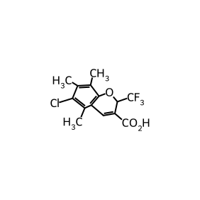 Cc1c(C)c2c(c(C)c1Cl)C=C(C(=O)O)C(C(F)(F)F)O2